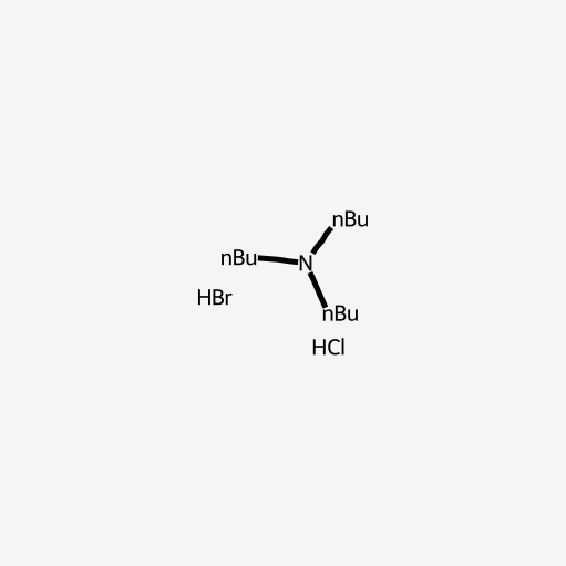 Br.CCCCN(CCCC)CCCC.Cl